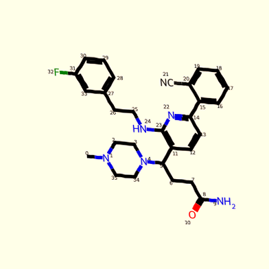 CN1CCN(C(CCC(N)=O)c2ccc(-c3ccccc3C#N)nc2NCCc2cccc(F)c2)CC1